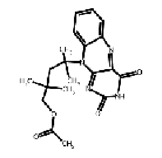 CC(=O)OCC(C)(C)CC(C)(C)n1c2nc(=O)[nH]c(=O)c-2nc2ccccc21